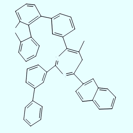 CC1=C(c2cccc(-c3cccc4oc5ccccc5c34)c2)N=C(c2cccc(-c3ccccc3)c2)N=C(c2ccc3ccccc3c2)C1